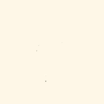 CC(C)(C)N.CCO[C@@H](Cc1ccc(OCC(=O)NC(CC)c2ccc(OC(F)(F)F)cc2)cc1)C(=O)O